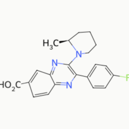 C[C@H]1CCCCN1c1nc2cc(C(=O)O)ccc2nc1-c1ccc(F)cc1